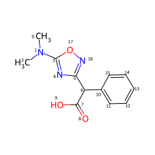 CN(C)c1nc(C(C(=O)O)c2ccccc2)no1